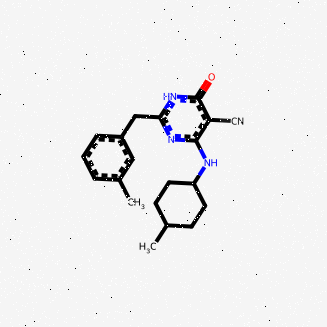 Cc1cccc(Cc2nc(NC3CCC(C)CC3)c(C#N)c(=O)[nH]2)c1